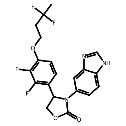 CC(F)(F)CCOc1ccc(C2COC(=O)N2c2ccc3[nH]cnc3c2)c(F)c1F